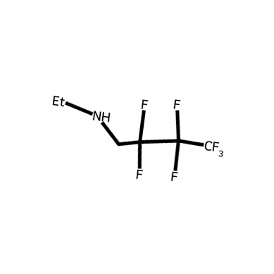 CCNCC(F)(F)C(F)(F)C(F)(F)F